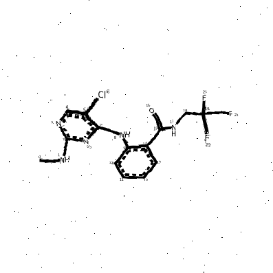 CNc1ncc(Cl)c(Nc2ccccc2C(=O)NCC(F)(F)F)n1